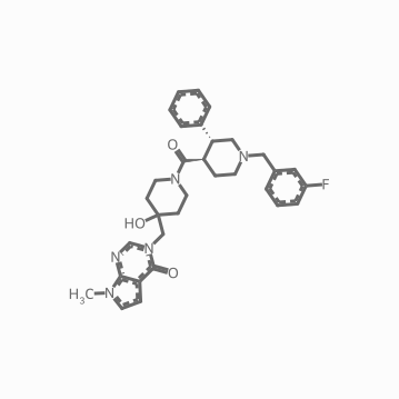 Cn1ccc2c(=O)n(CC3(O)CCN(C(=O)[C@@H]4CCN(Cc5cccc(F)c5)C[C@H]4c4ccccc4)CC3)cnc21